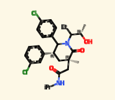 CCC([C@H](C)O)N1C(=O)[C@@](C)(CC(=O)NC(C)C)C[C@H](c2cccc(Cl)c2)C1c1ccc(Cl)cc1